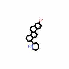 Brc1ccc2c(c1)CC=c1c-2ccc2c1=CCCC2C1=CC=CC=CN1